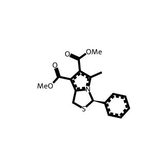 COC(=O)c1c(C(=O)OC)c2n(c1C)[C@@H](c1ccccc1)SC2